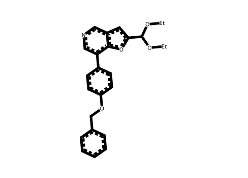 CCOC(OCC)c1cc2cncc(-c3ccc(OCc4ccccc4)cc3)c2o1